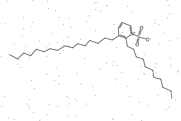 CCCCCCCCCCCCCCCCc1ccc[n+](S(=O)(=O)[O-])c1CCCCCCCCCCC